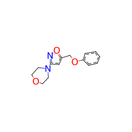 c1ccc(OCc2cc(N3CCOCC3)no2)cc1